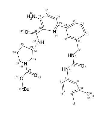 Cc1ccc(NC(=O)NCc2cccc(-c3cnc(N)c(C(=O)N[C@H]4CCCN(C(=O)OC(C)(C)C)C4)n3)c2)cc1C(F)(F)F